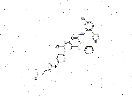 O=C(O)CCOC(=O)Nc1ccc(-c2cc(C(Cc3ccccc3)NC(=O)/C=C/c3cc(Cl)ccc3-n3cnnn3)nnc2Cl)cc1